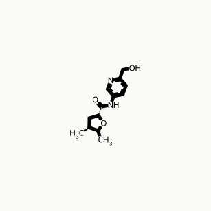 CC1O[C@@H](C(=O)Nc2ccc(CO)nc2)C[C@@H]1C